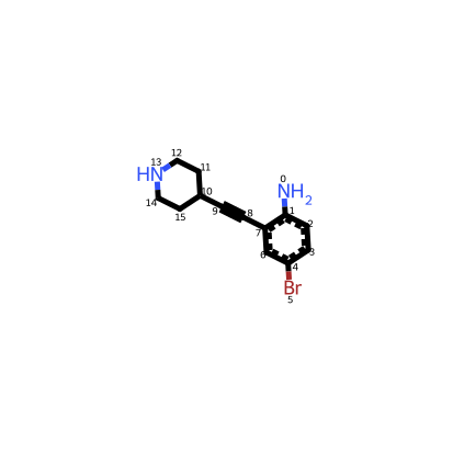 Nc1ccc(Br)cc1C#CC1CCNCC1